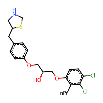 CCCc1c(OC[C@@H](O)COc2ccc(CC3CNCS3)cc2)ccc(Cl)c1Cl